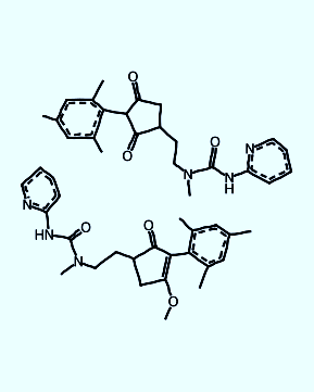 COC1=C(c2c(C)cc(C)cc2C)C(=O)C(CCN(C)C(=O)Nc2ccccn2)C1.Cc1cc(C)c(C2C(=O)CC(CCN(C)C(=O)Nc3ccccn3)C2=O)c(C)c1